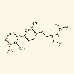 CC(C)C[C@@](C)(COc1ccc(-c2ccnc(N)c2N)cc1C#N)OC(N)=O